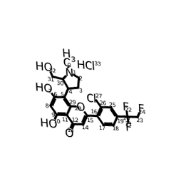 CN1CCC(c2c(O)cc(O)c3c(=O)cc(-c4ccc(C(F)(F)CF)cc4Cl)oc23)C1CO.Cl